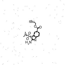 CN(C)S(=O)(=O)n1c(N)nc2ccc(C(=O)OCC(C)(C)C)cc21